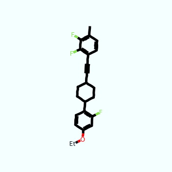 CCOc1ccc(C2CCC(C#Cc3ccc(C)c(F)c3F)CC2)c(F)c1